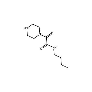 CCCCNC(=O)C(=O)N1CCNCC1